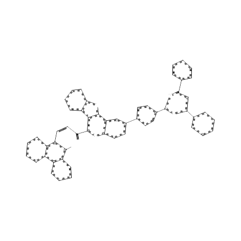 C=C(/C=C\c1c(C)c2ccccc2c2ccccc12)c1nc2ccc(-c3ccc(-c4nc(-c5ccccc5)cc(-c5ccccc5)n4)cc3)cc2c2sc3ccccc3c12